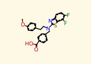 COc1ccc(CCN(Cc2ccc(C(=O)O)cc2)c2nc3ccc(F)c(F)c3s2)cc1